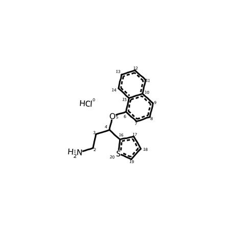 Cl.NCCC(Oc1cccc2ccccc12)c1cccs1